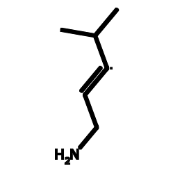 CC(C)/[C]=C/CN